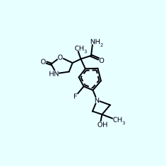 CC1(O)CN(c2ccc(C(C)(C(N)=O)C3CNC(=O)O3)cc2F)C1